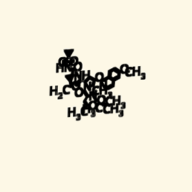 C=CC1C[C@]1(NC(=O)[C@@H]1C[C@@H](Oc2nccc3cc(OC)ccc23)CN1C(=O)[C@H](CCC)N(C)C(=O)OC(C)(C)C)C(=O)NS(=O)(=O)C1CC1